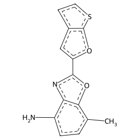 Cc1ccc(N)c2nc(-c3cc4ccsc4o3)oc12